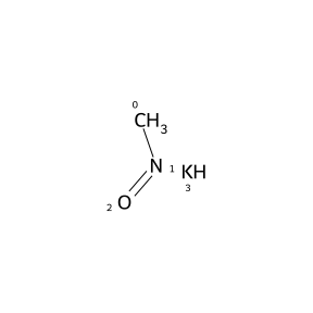 CN=O.[KH]